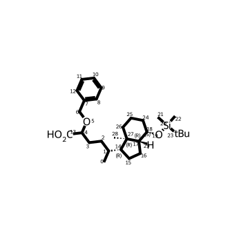 CC(CCC(OCc1ccccc1)C(=O)O)[C@H]1CC[C@H]2[C@@H](O[Si](C)(C)C(C)(C)C)CCC[C@]12C